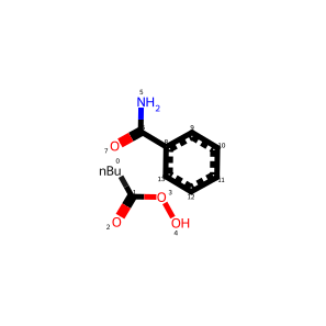 CCCCC(=O)OO.NC(=O)c1ccccc1